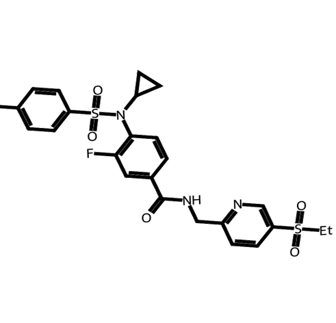 CCS(=O)(=O)c1ccc(CNC(=O)c2ccc(N(C3CC3)S(=O)(=O)c3ccc(C)cc3)c(F)c2)nc1